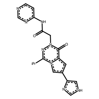 CC(C)c1nn(CC(=O)Nc2ccncn2)c(=O)c2cc(-c3c[nH]cn3)cn12